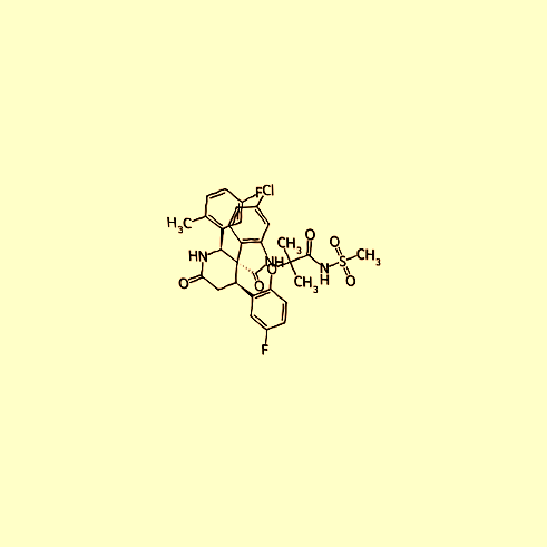 Cc1ccc(F)cc1[C@@H]1NC(=O)C[C@H](c2cc(F)ccc2OC(C)(C)C(=O)NS(C)(=O)=O)[C@@]12C(=O)Nc1cc(Cl)ccc12